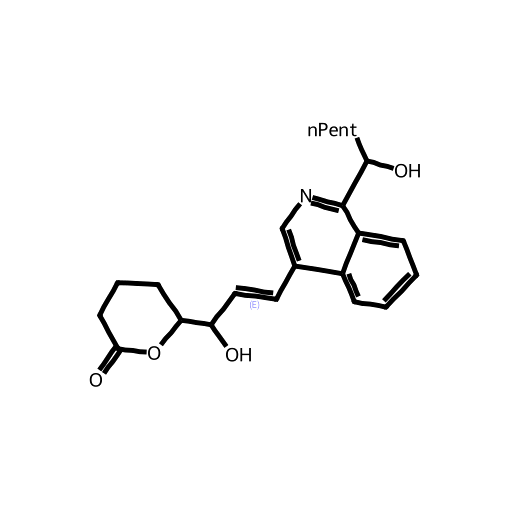 CCCCCC(O)c1ncc(/C=C/C(O)C2CCCC(=O)O2)c2ccccc12